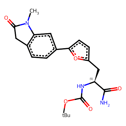 CN1C(=O)Cc2ccc(-c3ccc(C[C@H](NC(=O)OC(C)(C)C)C(N)=O)o3)cc21